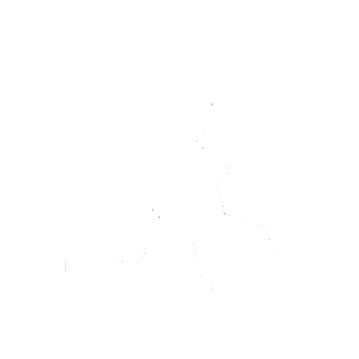 CC(=O)OC(CO)CO.CC(N)C(=O)O.NCC(=O)O